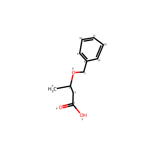 CC(CC(=O)O)OCc1ccccc1